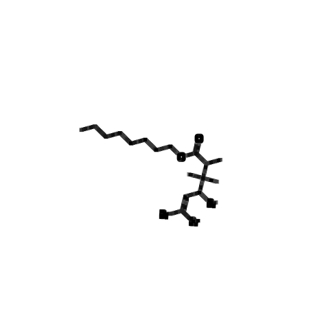 CCCCCCCCOC(=O)C(C)C(C)(C)C(Br)C=C(Br)Br